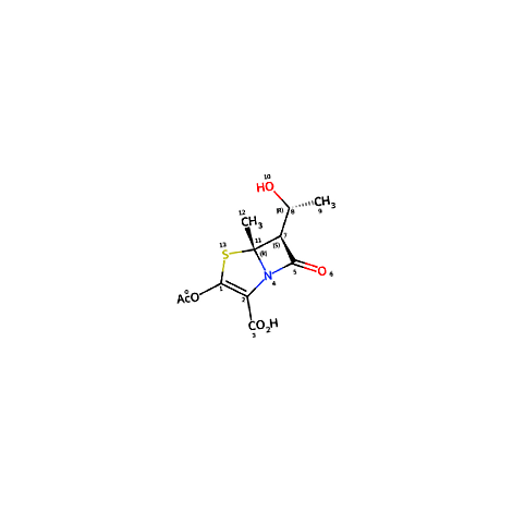 CC(=O)OC1=C(C(=O)O)N2C(=O)[C@H]([C@@H](C)O)[C@@]2(C)S1